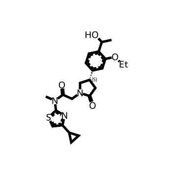 CCOc1cc([C@@H]2CC(=O)N(CC(=O)N(C)c3nc(C4CC4)cs3)C2)ccc1C(C)O